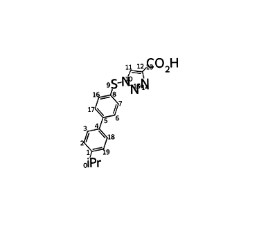 CC(C)c1ccc(-c2ccc(Sn3cc(C(=O)O)nn3)cc2)cc1